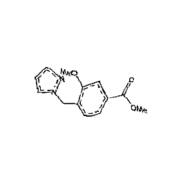 COC(=O)c1ccc(Cn2cccn2)c(OC)c1